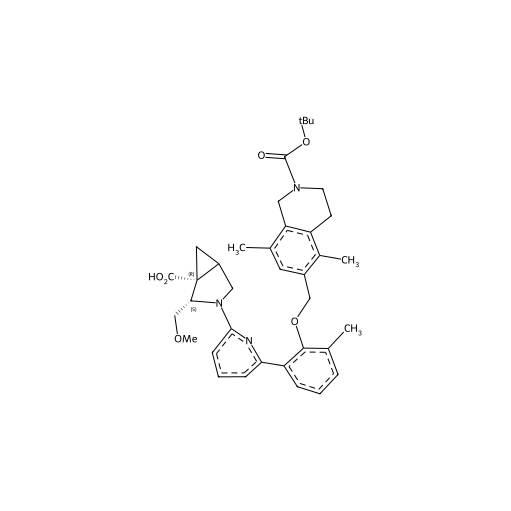 COC[C@H]1N(c2cccc(-c3cccc(C)c3OCc3cc(C)c4c(c3C)CCN(C(=O)OC(C)(C)C)C4)n2)CC2C[C@@]21C(=O)O